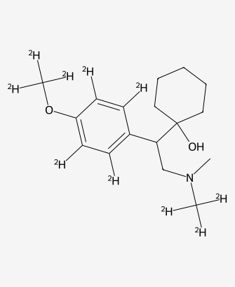 [2H]c1c([2H])c(C(CN(C)C([2H])([2H])[2H])C2(O)CCCCC2)c([2H])c([2H])c1OC([2H])([2H])[2H]